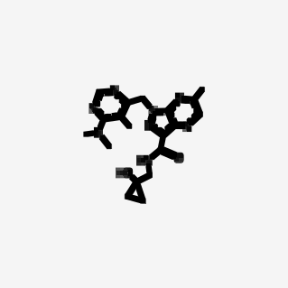 Cc1cnc2c(C(=O)NCC3(O)CC3)nn(Cc3ncnc(N(C)C)c3C)c2n1